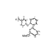 COc1cc(-c2cccnc2Oc2ccc(N)cc2)ccn1